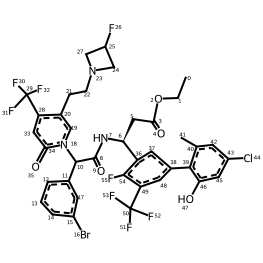 CCOC(=O)C[C@H](NC(=O)C(c1cccc(Br)c1)n1cc(CCN2CC(F)C2)c(C(F)(F)F)cc1=O)c1cc(-c2c(C)cc(Cl)cc2O)cc(C(F)(F)F)c1F